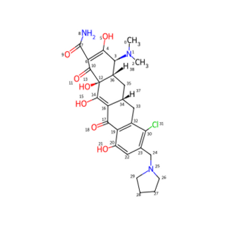 CN(C)[C@@H]1C(O)=C(C(N)=O)C(=O)[C@@]2(O)C(O)=C3C(=O)c4c(O)cc(CN5CCCC5)c(Cl)c4C[C@H]3C[C@@H]12